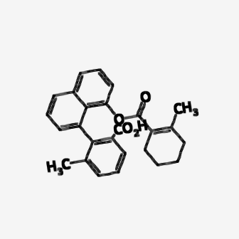 CC1=C(C(=O)Oc2cccc3cccc(-c4c(C)cccc4C(=O)O)c23)CCCC1